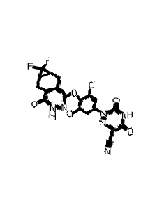 N#Cc1nn(-c2cc(Cl)c(Oc3n[nH]c(=O)c4c3CC3C(C4)C3(F)F)c(Cl)c2)c(=O)[nH]c1=O